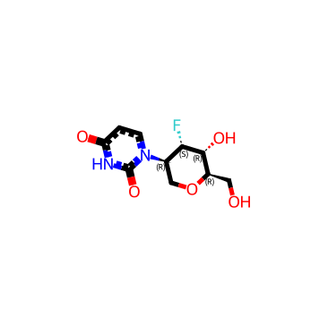 O=c1ccn([C@@H]2CO[C@H](CO)[C@@H](O)[C@H]2F)c(=O)[nH]1